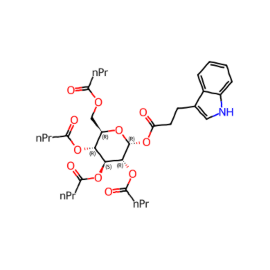 CCCC(=O)OC[C@H]1O[C@H](OC(=O)CCc2c[nH]c3ccccc23)[C@H](OC(=O)CCC)[C@@H](OC(=O)CCC)[C@@H]1OC(=O)CCC